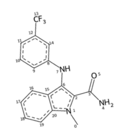 Cn1c(C(N)=O)c(Nc2cccc(C(F)(F)F)c2)c2ccccc21